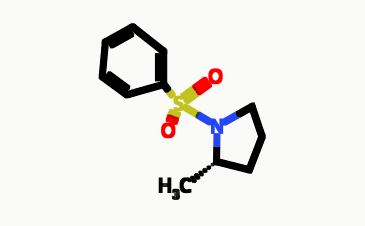 C[C@H]1CCCN1S(=O)(=O)c1ccccc1